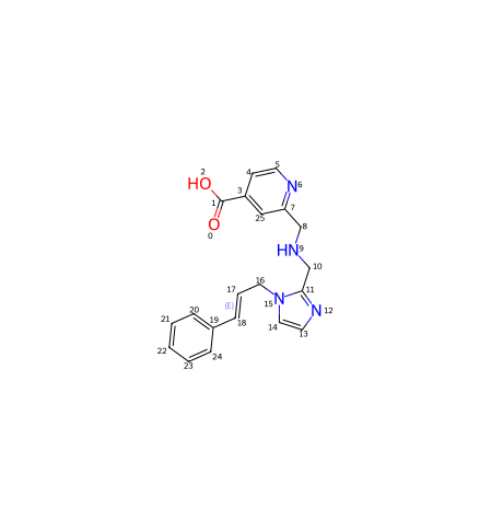 O=C(O)c1ccnc(CNCc2nccn2C/C=C/c2ccccc2)c1